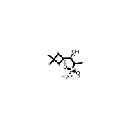 C[C@H]([C@H](O)C1CC(C)(C)C1)S(N)(=O)=O